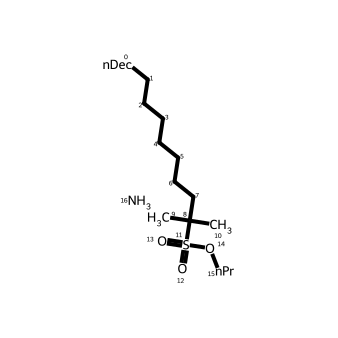 CCCCCCCCCCCCCCCCCC(C)(C)S(=O)(=O)OCCC.N